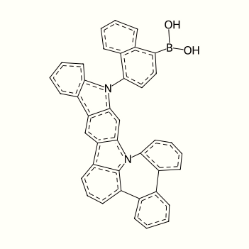 OB(O)c1ccc(-n2c3ccccc3c3cc4c5cccc6c5n(c4cc32)-c2ccccc2-c2ccccc2-6)c2ccccc12